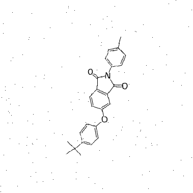 Cc1ccc(N2C(=O)c3ccc(Oc4ccc(C(C)(C)C)cc4)cc3C2=O)cc1